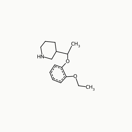 CCOc1ccccc1OC(C)C1CCCNC1